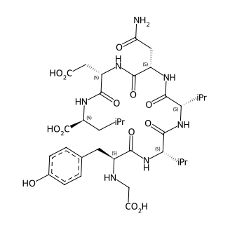 CC(C)C[C@H](NC(=O)[C@H](CC(=O)O)NC(=O)[C@H](CC(N)=O)NC(=O)[C@@H](NC(=O)[C@@H](NC(=O)[C@H](Cc1ccc(O)cc1)NCC(=O)O)C(C)C)C(C)C)C(=O)O